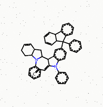 C=C/C=C1\C(C2CC3C=CCCC3N2c2ccccc2)c2cc(C3(c4ccccc4)c4ccccc4C4C=CC=CC43)ccc2N1c1ccccc1